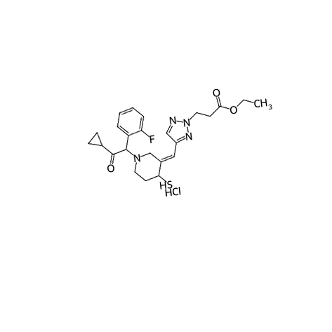 CCOC(=O)CCn1ncc(/C=C2\CN(C(C(=O)C3CC3)c3ccccc3F)CCC2S)n1.Cl